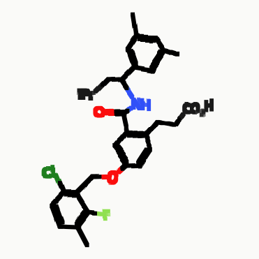 Cc1cc(C)cc(C(CC(C)C)NC(=O)c2cc(OCc3c(Cl)ccc(C)c3F)ccc2CCC(=O)O)c1